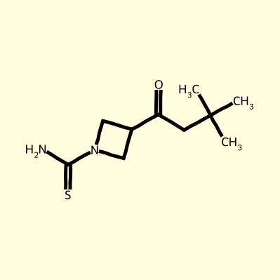 CC(C)(C)CC(=O)C1CN(C(N)=S)C1